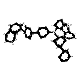 c1ccc(-c2ccc(N(c3ccc(-c4ccc5c(c4)oc4ccc6ccncc6c45)cc3)c3cccc4sc5ccccc5c34)cc2)cc1